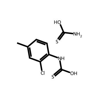 Cc1ccc(NC(O)=S)c(Cl)c1.NC(O)=S